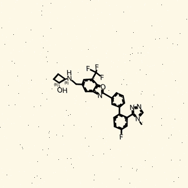 Cn1cnnc1-c1cc(F)ccc1-c1cccc(-c2nc3cc(CN[C@@H]4CC[C@H]4O)cc(C(F)(F)F)c3o2)c1